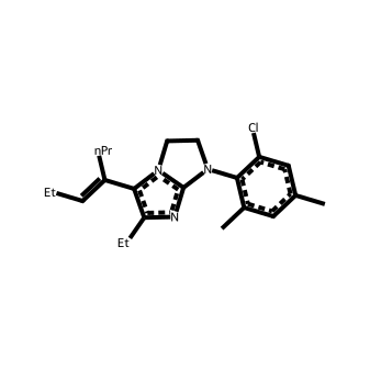 CC/C=C(\CCC)c1c(CC)nc2n1CCN2c1c(C)cc(C)cc1Cl